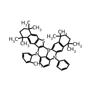 Cc1ccccc1N1c2cccc3c2B(c2cc4c(cc2N3c2ccccc2)C(C)(C)CCC4(C)C)c2sc3cc4c(cc3c21)C(C)(C)CCC4(C)C